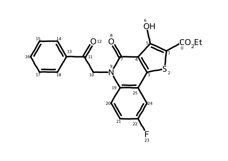 CCOC(=O)c1sc2c(c1O)c(=O)n(CC(=O)c1ccccc1)c1ccc(F)cc21